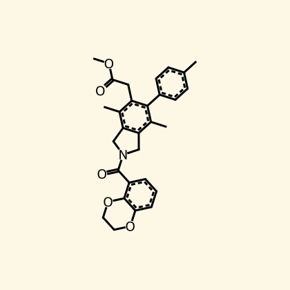 COC(=O)Cc1c(C)c2c(c(C)c1-c1ccc(C)cc1)CN(C(=O)c1cccc3c1OCCO3)C2